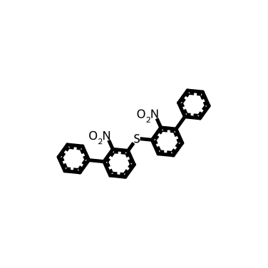 O=[N+]([O-])c1c(Sc2cccc(-c3ccccc3)c2[N+](=O)[O-])cccc1-c1ccccc1